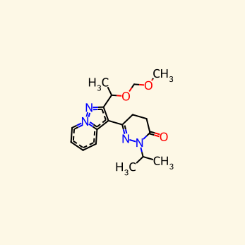 COCOC(C)c1nn2ccccc2c1C1=NN(C(C)C)C(=O)CC1